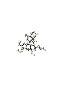 C=Cc1cc2c(-c3cc(F)c4c(c3C)CCCO4)c(CC(=O)OC)c(C)nc2n1C